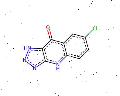 O=c1c2cc(Cl)ccc2[nH]c2nn[nH]c12